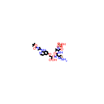 CC(C)(C)OC(=O)N1CC(Nc2nccc3cc(OCC(O/N=C(\C(=O)N[C@@H]4C(=O)N(OS(=O)(=O)O)C4(C)C)c4csc(N)n4)C(=O)O)ccc23)C1